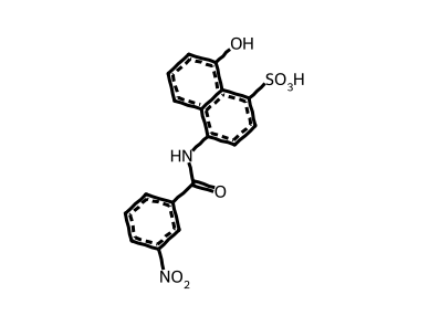 O=C(Nc1ccc(S(=O)(=O)O)c2c(O)cccc12)c1cccc([N+](=O)[O-])c1